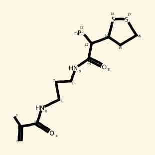 C=C(C)C(=O)NCCCNC(=O)C(CCC)C1CCSS1